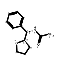 NC(=O)N[C@@H](c1ccccc1)[C@H]1CCCO1